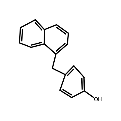 Oc1ccc(Cc2cccc3ccccc23)cc1